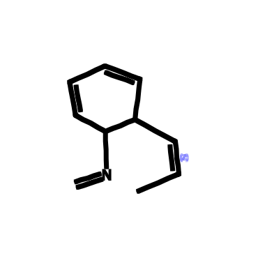 C=NC1C=CC=CC1/C=C\C